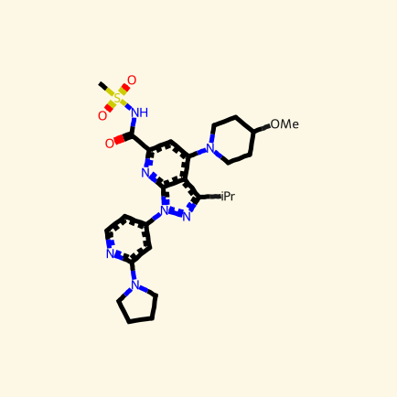 COC1CCN(c2cc(C(=O)NS(C)(=O)=O)nc3c2c(C(C)C)nn3-c2ccnc(N3CCCC3)c2)CC1